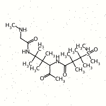 CNCC(=O)NC(C)(C)C(C)(C)C(NC(=O)C(C)(C)C(C)(C)[SH](C)(C)=O)C(C)=O